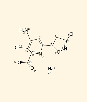 Nc1cc(C2CC(Cl)=NO2)nc(C(=O)[O-])c1Cl.[Na+]